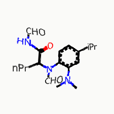 CCCC(C(=O)NC=O)N(C=O)c1ccc(C(C)C)cc1N(C)C